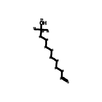 C=CCCCCCCCCC(C)(C)O